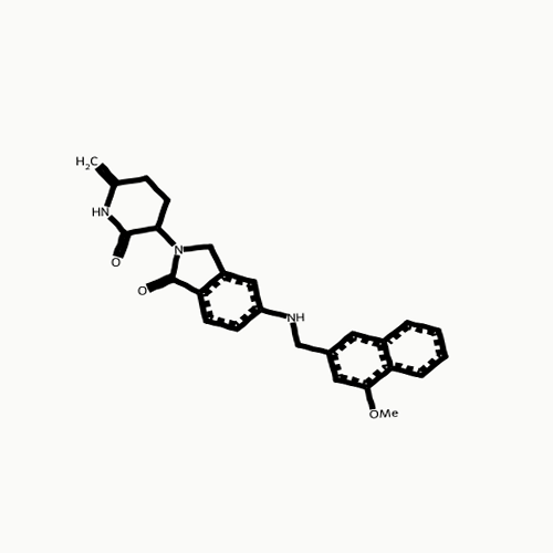 C=C1CCC(N2Cc3cc(NCc4cc(OC)c5ccccc5c4)ccc3C2=O)C(=O)N1